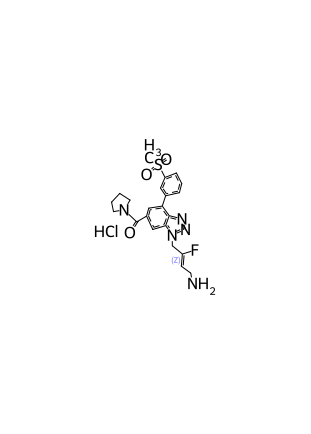 CS(=O)(=O)c1cccc(-c2cc(C(=O)N3CCCC3)cc3c2nnn3C/C(F)=C/CN)c1.Cl